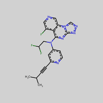 CC(C)C#Cc1cc(N(CC(F)F)c2nc3nncn3c3cncc(F)c23)ccn1